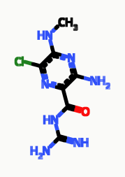 CNc1nc(N)c(C(=O)NC(=N)N)nc1Cl